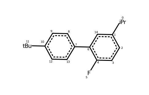 CC(C)c1ccc(F)c(-c2ccc(C(C)(C)C)cc2)c1